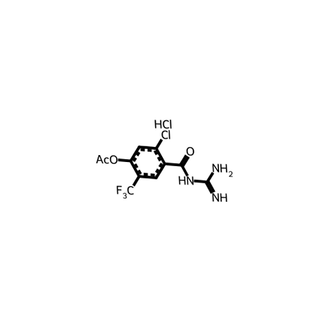 CC(=O)Oc1cc(Cl)c(C(=O)NC(=N)N)cc1C(F)(F)F.Cl